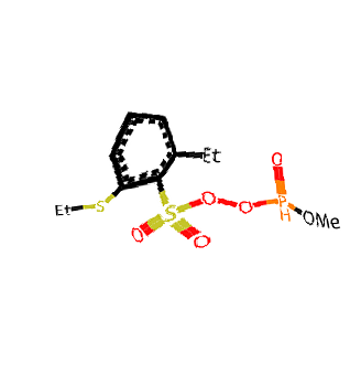 CCSc1cccc(CC)c1S(=O)(=O)OO[PH](=O)OC